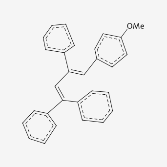 COc1ccc(C=C(C=C(c2ccccc2)c2ccccc2)c2ccccc2)cc1